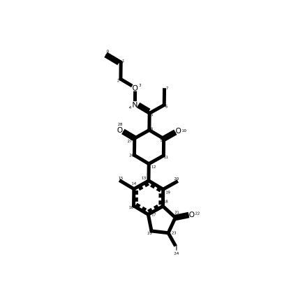 C=CCON=C(CC)C1C(=O)CC(c2c(C)cc3c(c2C)C(=O)C(I)C3)CC1=O